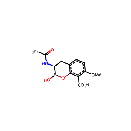 CCCC(=O)N[C@H]1Cc2ccc(OC)c(C(=O)O)c2OB1O